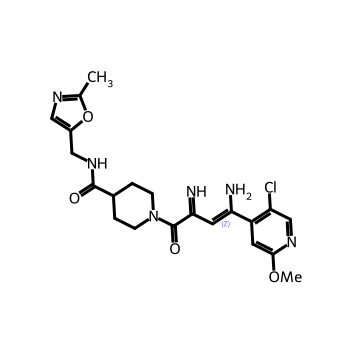 COc1cc(/C(N)=C/C(=N)C(=O)N2CCC(C(=O)NCc3cnc(C)o3)CC2)c(Cl)cn1